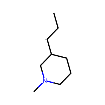 CC[CH]C1CCCN(C)C1